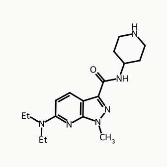 CCN(CC)c1ccc2c(C(=O)NC3CCNCC3)nn(C)c2n1